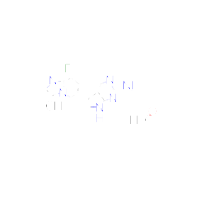 COC1CC(Nc2ncc3c(-c4cc(F)c5ncc(C)n5c4)c[nH]c3n2)C1